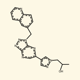 CC(O)Cn1cc(-c2cnc3nnn(Cc4ccc5ncccc5c4)c3n2)cn1